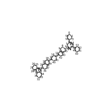 c1ccc(-c2cc(-c3ccc4cc(-c5ccc(-c6ccc7cc(-n8c9ccccc9c9ccccc98)ccc7c6)cc5)ccc4c3)nc(-c3ccccc3)n2)cc1